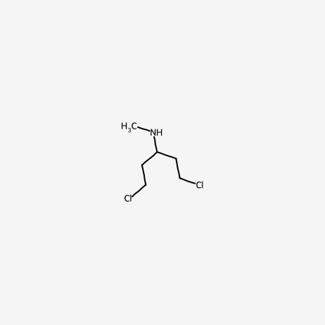 CNC(CCCl)CCCl